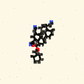 Cc1ccc2c3ccc(C(=O)OCc4ccccc4)c4c(C#N)cc(C#N)c(c5ccc(C#N)c1c25)c43